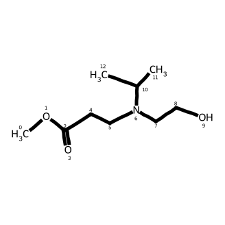 COC(=O)CCN(CCO)C(C)C